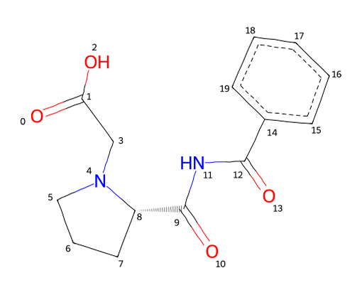 O=C(O)CN1CCC[C@H]1C(=O)NC(=O)c1ccccc1